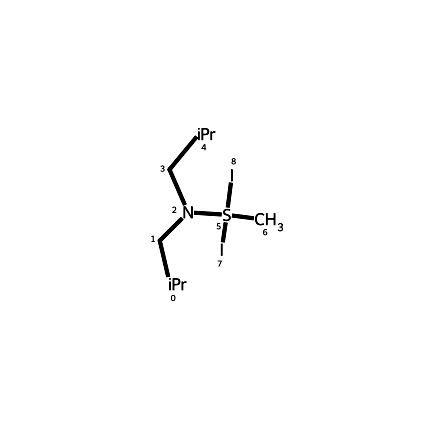 CC(C)CN(CC(C)C)S(C)(I)I